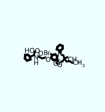 CCCCC1(CC)CN(c2ccccc2)c2cc(Br)c(OCCC(=O)NC(C(=O)O)c3ccccc3)cc2S(=O)(=O)C1